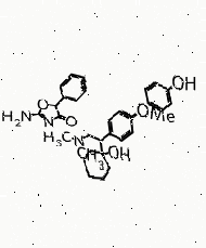 COc1ccc(C(CN(C)C)C2(O)CCCCC2)cc1.NC1=NC(=O)C(c2ccccc2)O1.Oc1ccccc1